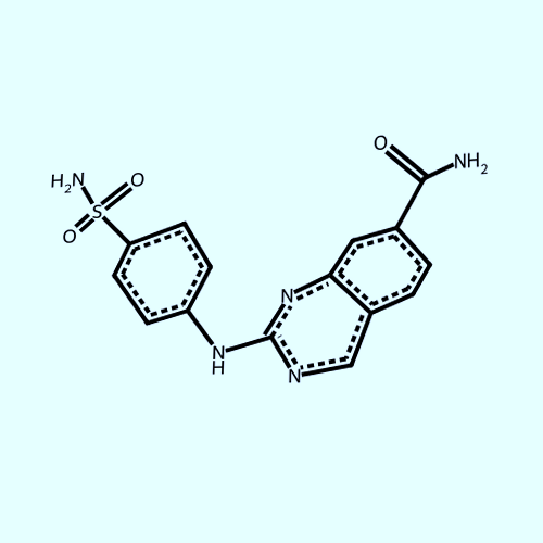 NC(=O)c1ccc2cnc(Nc3ccc(S(N)(=O)=O)cc3)nc2c1